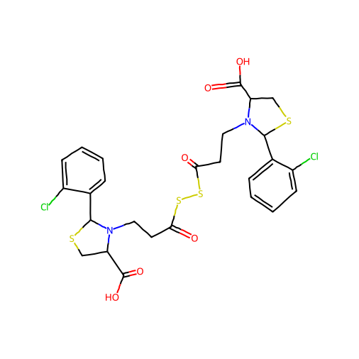 O=C(CCN1C(C(=O)O)CSC1c1ccccc1Cl)SSC(=O)CCN1C(C(=O)O)CSC1c1ccccc1Cl